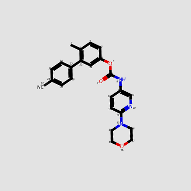 Cc1ccc(OC(=O)Nc2ccc(N3CCOCC3)nc2)cc1-c1ccc(C#N)cc1